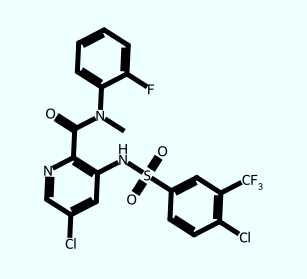 CN(C(=O)c1ncc(Cl)cc1NS(=O)(=O)c1ccc(Cl)c(C(F)(F)F)c1)c1ccccc1F